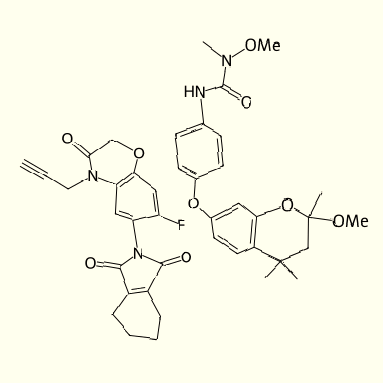 C#CCN1C(=O)COc2cc(F)c(N3C(=O)C4=C(CCCC4)C3=O)cc21.CON(C)C(=O)Nc1ccc(Oc2ccc3c(c2)OC(C)(OC)CC3(C)C)cc1